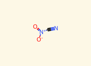 N#C[N+](=O)[O-]